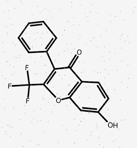 O=c1c(-c2ccccc2)c(C(F)(F)F)oc2cc(O)ccc12